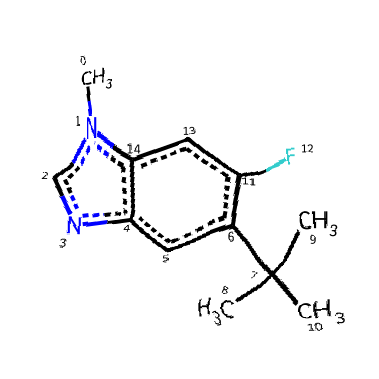 Cn1cnc2cc(C(C)(C)C)c(F)cc21